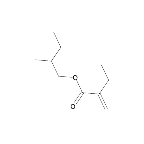 C=C(CC)C(=O)OCC(C)CC